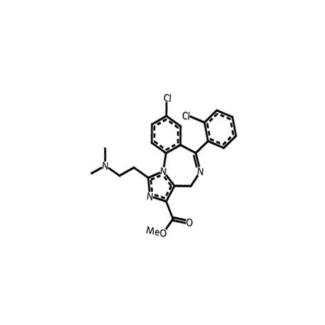 COC(=O)c1nc(CCN(C)C)n2c1CN=C(c1ccccc1Cl)c1cc(Cl)ccc1-2